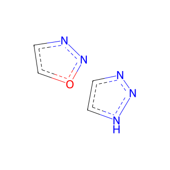 c1c[nH]nn1.c1conn1